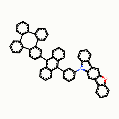 c1cc(-c2c3ccccc3c(-c3ccc4c(c3)-c3ccccc3-c3ccccc3-c3ccccc3-4)c3ccccc23)cc(-n2c3ccccc3c3cc4oc5ccccc5c4cc32)c1